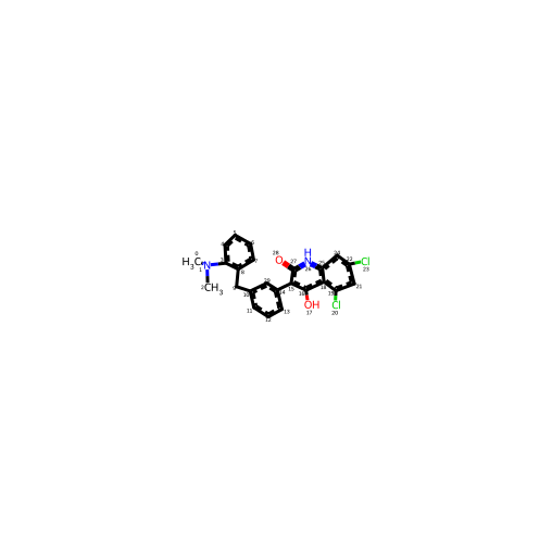 CN(C)c1ccccc1Cc1cccc(-c2c(O)c3c(Cl)cc(Cl)cc3[nH]c2=O)c1